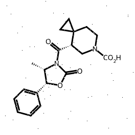 C[C@H]1[C@@H](c2ccccc2)OC(=O)N1C(=O)[C@H]1CN(C(=O)O)CCC12CC2